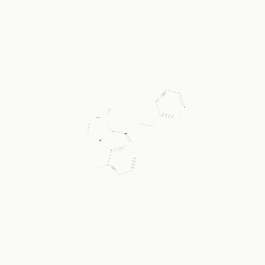 CC1(c2ccccc2F)COS(=O)N1C(=O)OCc1ccccc1